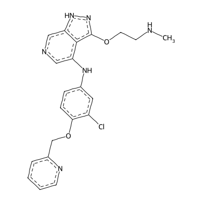 CNCCOc1n[nH]c2cncc(Nc3ccc(OCc4ccccn4)c(Cl)c3)c12